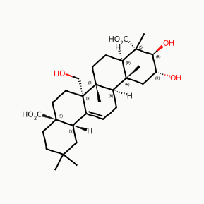 CC1(C)CC[C@]2(C(=O)O)CC[C@]3(CO)C(=CC[C@@H]4[C@@]5(C)C[C@@H](O)[C@H](O)[C@@](C)(C(=O)O)[C@@H]5CC[C@]43C)[C@@H]2C1